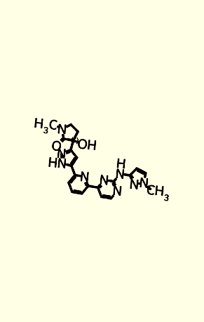 CN1CC[C@](O)(c2cc(-c3cccc(-c4ccnc(Nc5ccn(C)n5)n4)n3)[nH]n2)C1=O